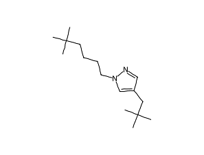 CC(C)(C)CCCCn1cc(CC(C)(C)C)cn1